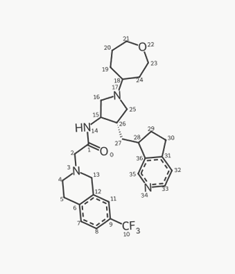 O=C(CN1CCc2ccc(C(F)(F)F)cc2C1)NC1CN(C2CCCOCC2)C[C@@H]1CC1CCc2ccncc21